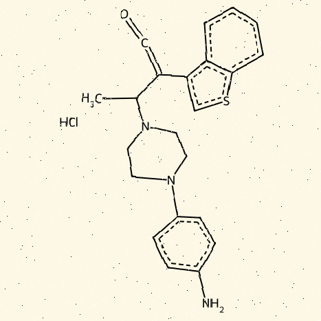 CC(C(=C=O)c1csc2ccccc12)N1CCN(c2ccc(N)cc2)CC1.Cl